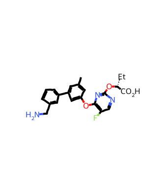 CC[C@@H](Oc1ncc(F)c(Oc2cc(C)cc(-c3cccc(CN)c3)c2)n1)C(=O)O